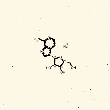 Nc1ncnc2c1ncn2[C@@H]1O[C@H](CO)[C@@H](O)[C@H]1O.[K].[Na]